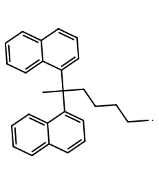 [CH2]CCCCC(C)(c1cccc2ccccc12)c1cccc2ccccc12